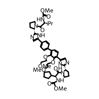 COCCOc1c(-c2ccc(-c3cnc([C@@H]4CCCN4C(=O)[C@@H](NC(=O)OC)C(C)C)[nH]3)cc2)ccc(-c2cnc([C@@H]3CCCN3C(=O)[C@@H](NC(=O)OC)C3CCCC3)[nH]2)c1OCCOC